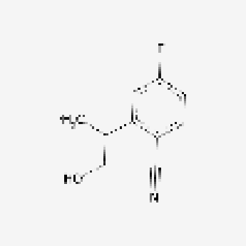 [CH2]C(CO)c1cc(F)ccc1C#N